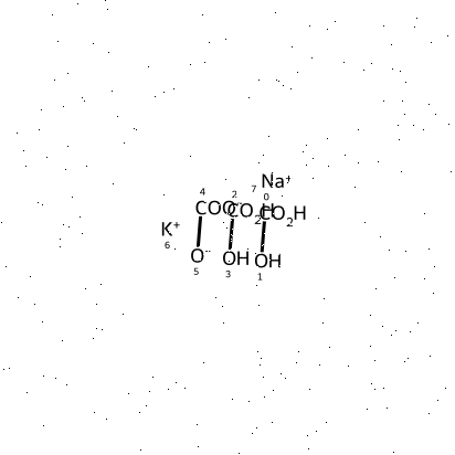 O=C(O)O.O=C(O)O.O=C([O-])[O-].[K+].[Na+]